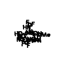 COc1ccc2ncc(CF)c([C@H](O)CCC3(CO)CCN(CCNc4cc(F)cc(F)c4)CC3)c2c1.COc1ccc2ncc(CF)c([C@H](O)CCC3([C@@H](O)CCCc4cc(F)cc(F)c4F)CCNCC3)c2c1